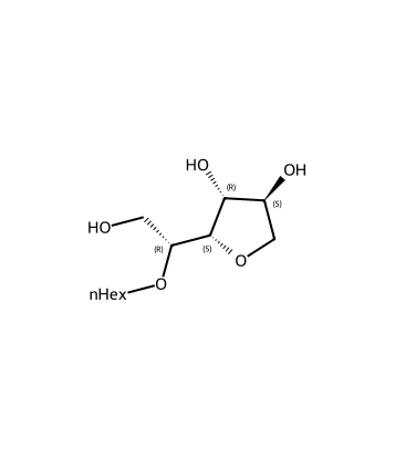 CCCCCCO[C@H](CO)[C@H]1OC[C@H](O)[C@H]1O